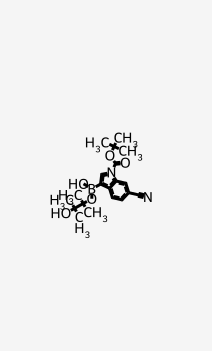 CC(C)(C)OC(=O)n1cc(B(O)OC(C)(C)C(C)(C)O)c2ccc(C#N)cc21